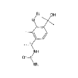 CCOc1c(C(C)(C)O)ccc([C@@H](C)N[S+]([O-])C(C)(C)C)c1C